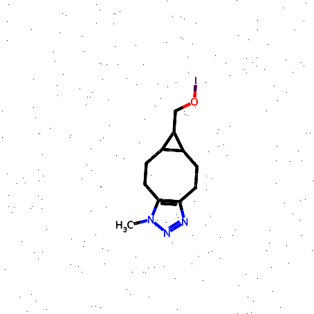 Cn1nnc2c1CCC1C(CC2)C1COI